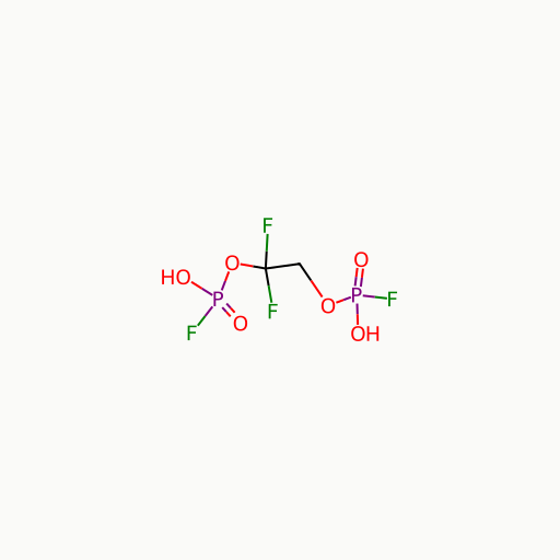 O=P(O)(F)OCC(F)(F)OP(=O)(O)F